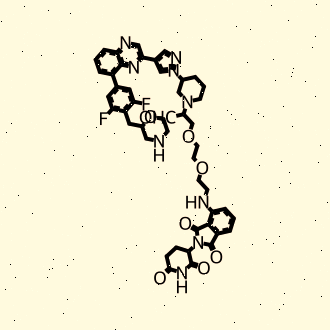 O=CC(COCCOCCNc1cccc2c1C(=O)N(C1CCC(=O)NC1=O)C2=O)N1CCCC(n2cc(-c3cnc4cccc(-c5cc(F)c(CC6CNCCO6)c(F)c5)c4n3)cn2)C1